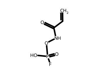 C=CC(=O)NOP(=O)(O)F